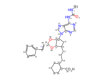 CCNC(=O)Nc1ncnc2c1ncn2C1CC(CCCC2CCCCC2C(=O)O)C2O[C@H](/C=C/c3ccccc3)OC21